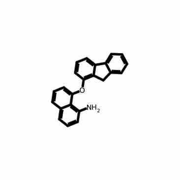 Nc1cccc2cccc(Oc3cccc4c3Cc3ccccc3-4)c12